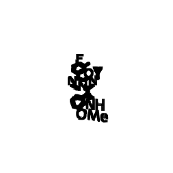 COc1cccc2c(CCN(CC3CC3)C(=O)c3nccnc3-c3ccc(F)c(C)c3)c[nH]c12